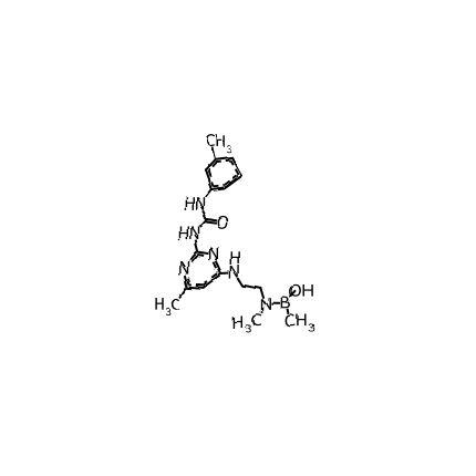 CB(O)N(C)CCNc1cc(C)nc(NC(=O)Nc2cccc(C)c2)n1